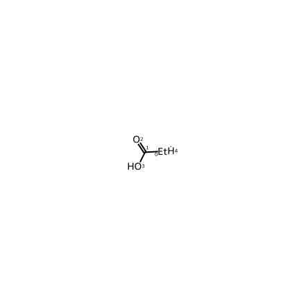 CCC(=O)O.[H]